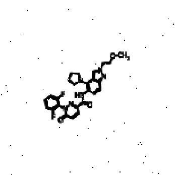 COCCn1cc2c(N3CCCC3)c(NC(=O)c3ccc(=O)n(-c4c(F)cccc4F)n3)ccc2n1